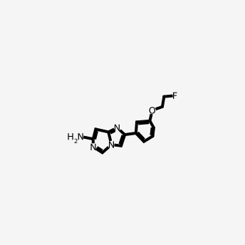 Nc1cc2nc(-c3cccc(OCCF)c3)cn2cn1